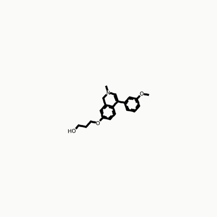 COc1cccc(C2=CN(C)Cc3cc(OCCCO)ccc32)c1